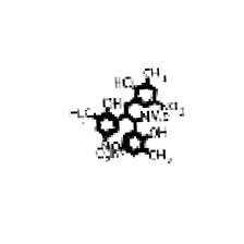 CNC(c1cc([N+](=O)[O-])cc(C)c1O)C(Cc1cc([N+](=O)[O-])cc(C)c1O)c1cc([N+](=O)[O-])cc(C)c1O